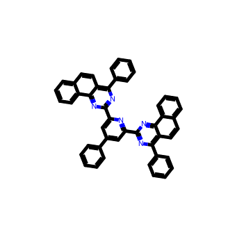 c1ccc(-c2cc(-c3nc(-c4ccccc4)c4ccc5ccccc5c4n3)nc(-c3nc(-c4ccccc4)c4ccc5ccccc5c4n3)c2)cc1